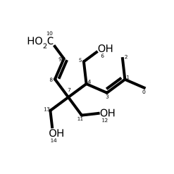 CC(C)=CC(CO)C(C=CC(=O)O)(CO)CO